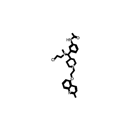 CC(=O)Nc1cccc(C(C2CCN(CCOc3cccc4nc(C)ccc34)CC2)N(C)CCCl)c1